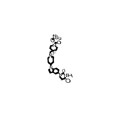 CC(C)(C)OC(=O)N1CCC(F)(CN2CCC(n3ccc4cc(N5CCC(=O)NC5=O)ccc43)CC2)CC1